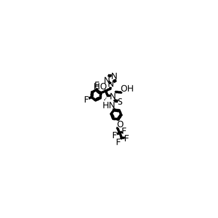 C[C@@H](N(CCO)C(=S)Nc1ccc(OCC(F)(F)C(F)F)cc1)[C@](O)(Cn1cncn1)c1ccc(F)cc1F